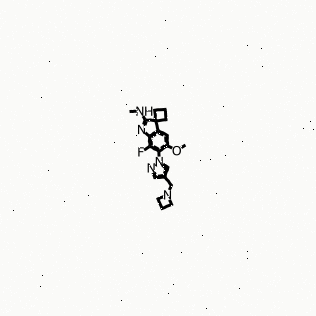 CNC1=Nc2c(cc(OC)c(-n3cc(CN4CCC4)cn3)c2F)C12CCC2